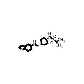 CC(C)S(=O)(=O)N[C@H]1CC[C@H](CNc2ccc3sccc3c2)CC1